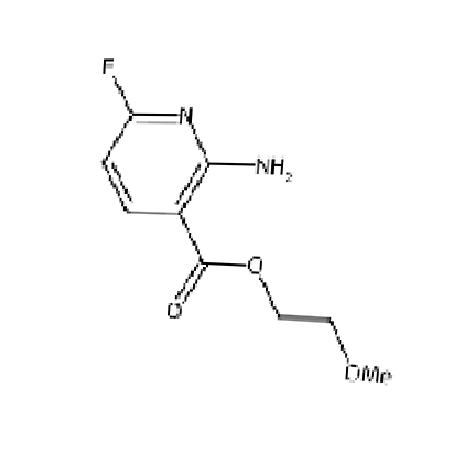 COCCOC(=O)c1ccc(F)nc1N